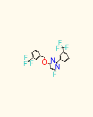 Fc1cc(OCc2cccc(C(F)(F)F)c2)nc(-c2cccc(C(F)(F)F)c2)n1